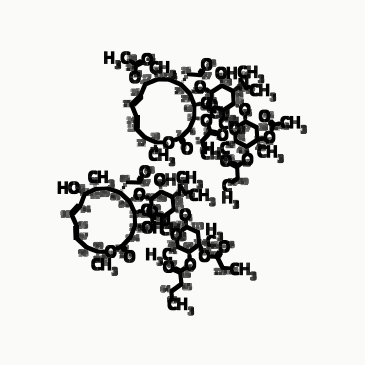 CCC(=O)O[C@@H]1CC(=O)O[C@H](C)C/C=C/C=C/[C@H](OC(C)=O)[C@H](C)C[C@H](CC=O)[C@H](O[C@@H]2O[C@H](C)[C@@H](O[C@H]3C[C@@](C)(OC(C)=O)[C@@H](OC(=O)CC)[C@H](C)O3)[C@H](N(C)C)[C@H]2O)[C@H]1OC.CCCC(=O)O[C@H]1[C@H](C)O[C@@H](O[C@H]2[C@H](N(C)C)[C@@H](O)[C@H](O[C@H]3[C@@H](CC=O)C[C@@H](C)[C@@H](O)/C=C/C=C/C[C@@H](C)OC(=O)C[C@@H](O)[C@@H]3OC)O[C@@H]2C)C[C@@]1(C)OC(=O)CC